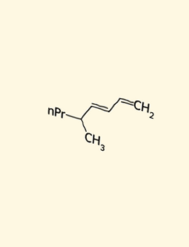 C=CC=CC(C)CCC